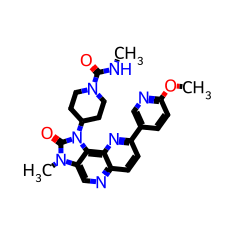 CNC(=O)N1CCC(n2c(=O)n(C)c3cnc4ccc(-c5ccc(OC)nc5)nc4c32)CC1